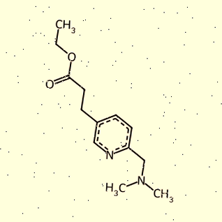 CCOC(=O)CCc1ccc(CN(C)C)nc1